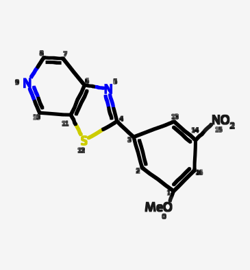 COc1cc(-c2nc3ccncc3s2)cc([N+](=O)[O-])c1